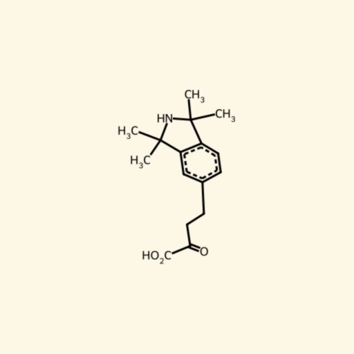 CC1(C)NC(C)(C)c2cc(CCC(=O)C(=O)O)ccc21